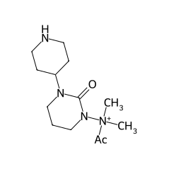 CC(=O)[N+](C)(C)N1CCCN(C2CCNCC2)C1=O